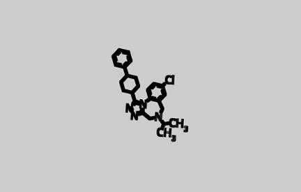 CC(C)N1Cc2cc(Cl)ccc2-n2c(nnc2C2CCC(c3ccccc3)CC2)C1